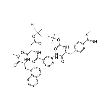 COC(=O)[C@H](Cc1cccc2ccccc12)NC(=O)[C@H](CC(=O)OC(C)(C)C)NC(=O)c1cccc(NC(=O)C(Cc2ccc(C(=N)SC)cc2)NC(=O)OC(C)(C)C)c1.I